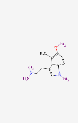 Cc1c(OP)ccc2c1c(CCN(P)P)cn2P